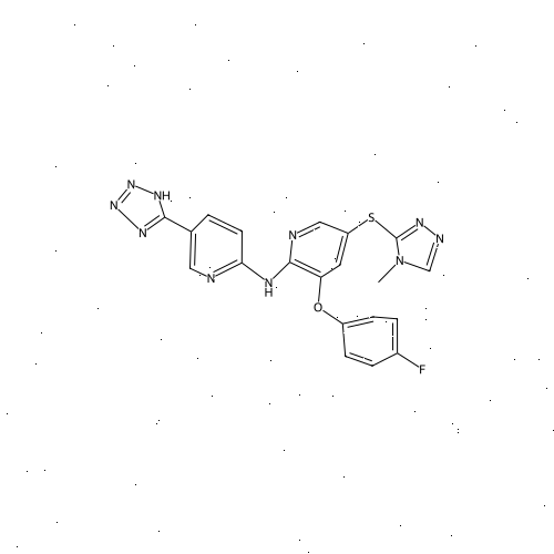 Cn1cnnc1Sc1cnc(Nc2ccc(-c3nnn[nH]3)cn2)c(Oc2ccc(F)cc2)c1